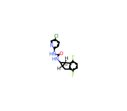 O=C(Nc1ccc(Cl)cn1)NC1[C@H]2Cc3c(F)ccc(F)c3[C@@H]12